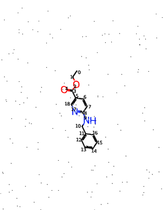 CCOC(=O)c1ccc(NCc2ccccc2)nc1